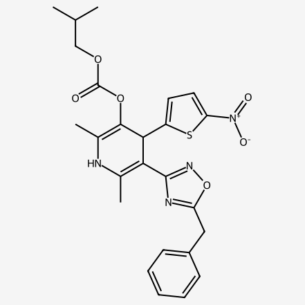 CC1=C(OC(=O)OCC(C)C)C(c2ccc([N+](=O)[O-])s2)C(c2noc(Cc3ccccc3)n2)=C(C)N1